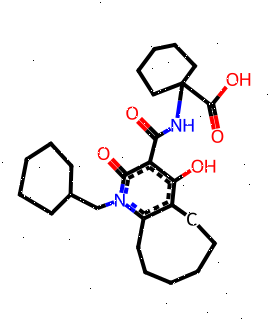 O=C(NC1(C(=O)O)CCCCC1)c1c(O)c2c(n(CC3CCCCC3)c1=O)CCCCCC2